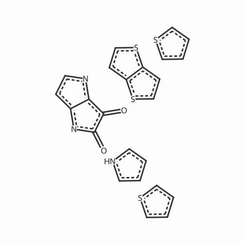 O=c1nc2ccnc-2c1=O.c1cc2sccc2s1.c1cc[nH]c1.c1ccsc1.c1ccsc1